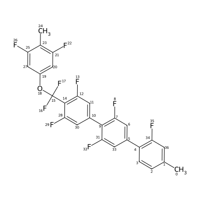 Cc1ccc(-c2cc(F)c(-c3cc(F)c(C(F)(F)Oc4cc(F)c(C)c(F)c4)c(F)c3)c(F)c2)c(F)c1